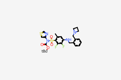 Cc1cc(NCc2ccccc2CN2CCC2)c(F)c(F)c1S(=O)(=O)N(C(=O)OC(C)(C)C)c1cscn1